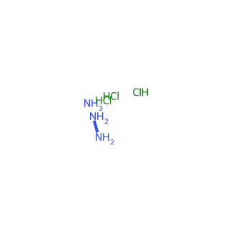 Cl.Cl.Cl.N.NN